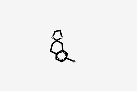 Brc1ccc2c(c1)CC1(CC2)OCCO1